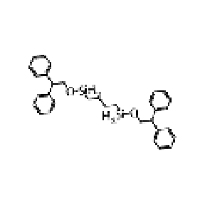 c1ccc(C(CO[SiH2]CCCC[SiH2]OCC(c2ccccc2)c2ccccc2)c2ccccc2)cc1